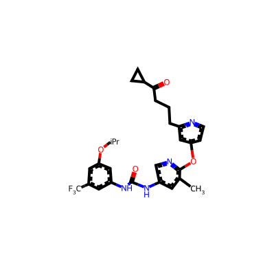 Cc1cc(NC(=O)Nc2cc(OC(C)C)cc(C(F)(F)F)c2)cnc1Oc1ccnc(CCCC(=O)C2CC2)c1